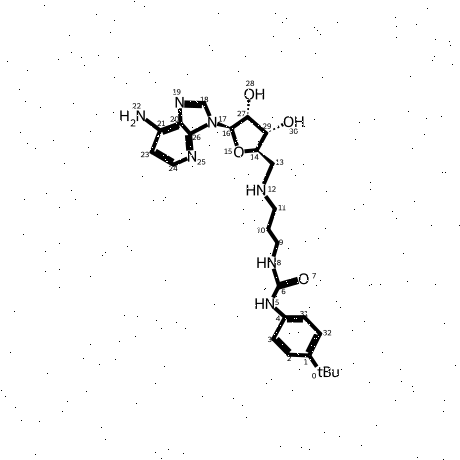 CC(C)(C)c1ccc(NC(=O)NCCCNC[C@H]2O[C@@H](n3cnc4c(N)ccnc43)[C@H](O)[C@@H]2O)cc1